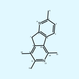 Cc1ccc2c(n1)Cc1c(C)c(C)nc(C)c1-2